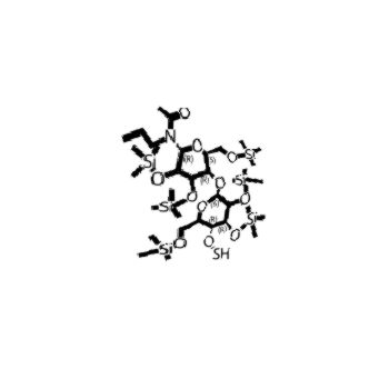 C=CCN(C(C)=O)[C@@H]1O[C@@H](CO[Si](C)(C)C)[C@@H](O[C@@H]2OC(CO[Si](C)(C)C)[C@@H](OS)[C@H](O[Si](C)(C)C)C2O[Si](C)(C)C)C(O[Si](C)(C)C)C1O[Si](C)(C)C